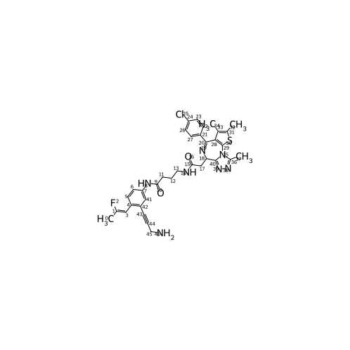 CC(F)=Cc1ccc(NC(=O)CCCNC(=O)CC2N=C(c3ccc(Cl)cc3)c3c(sc(C)c3C)-n3c(C)nnc32)cc1C#CCN